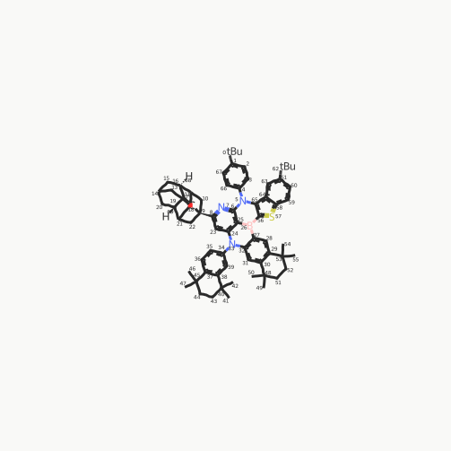 CC(C)(C)c1ccc(N2c3nc([C@]45CC6C7CC8C[C@@H]6C(C4)[C@@H](C8)C7C5)cc4c3B(c3cc5c(cc3N4c3ccc4c(c3)C(C)(C)CCC4(C)C)C(C)(C)CCC5(C)C)c3sc4ccc(C(C)(C)C)cc4c32)cc1